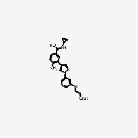 COCCNc1cncc(-n2cc(-c3cc(C(O)NC4CC4)ccc3C)cn2)c1